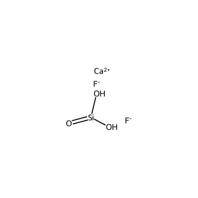 O=[Si](O)O.[Ca+2].[F-].[F-]